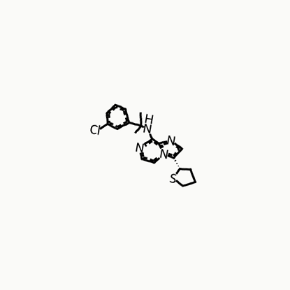 CC(C)(Nc1nccn2c([C@@H]3CCCS3)cnc12)c1cccc(Cl)c1